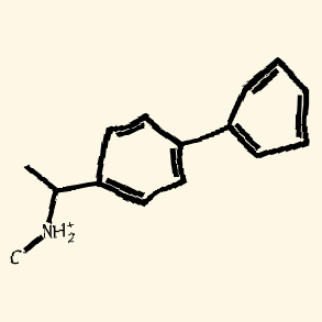 [CH2-][NH2+]C(C)c1ccc(-c2ccccc2)cc1